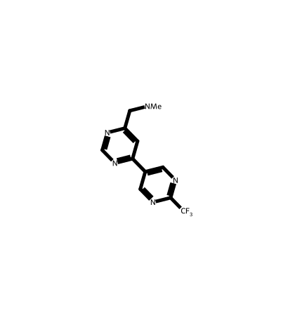 CNCc1cc(-c2cnc(C(F)(F)F)nc2)ncn1